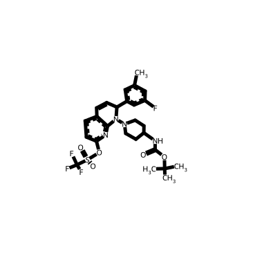 Cc1cc(F)cc(C2C=Cc3ccc(OS(=O)(=O)C(F)(F)F)nc3N2N2CCC(NC(=O)OC(C)(C)C)CC2)c1